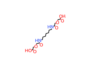 O=C(O)COCC(=O)NCCCCCCCNC(=O)COCC(=O)O